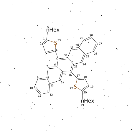 CCCCCCc1ccc(-c2c3cc4ccccc4cc3c(-c3ccc(CCCCCC)s3)c3cc4ccccc4cc23)s1